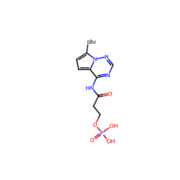 CC(C)(C)c1ccc2c(NC(=O)CCOP(=O)(O)O)ncnn12